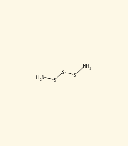 NSSSN